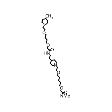 CNC(=O)COCCCCCOCCN1CCC(CCNC(=O)COCCCCOCCN2CCC(C)CC2)CC1